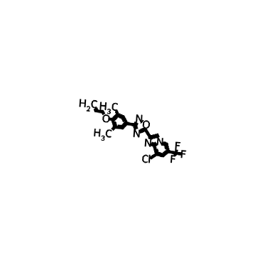 C=CCOc1c(C)cc(-c2noc(-c3cn4cc(C(F)(F)F)cc(Cl)c4n3)n2)cc1C